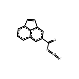 [N-]=[N+]=NC(=O)c1cc2c3c(cccc3c1)C=C2